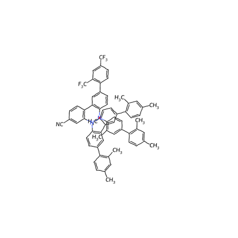 Cc1ccc(-c2ccc(N(C)c3ccc(-c4ccc(C(F)(F)F)cc4C(F)(F)F)cc3-c3ccc(C#N)cc3-n3c4ccc(-c5ccc(C)cc5C)cc4c4cc(-c5ccc(C)cc5C)ccc43)c(C)c2)c(C)c1